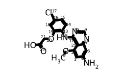 COc1cc(N)cc2ncnc(Nc3ccc(Cl)cc3OCC(=O)O)c12